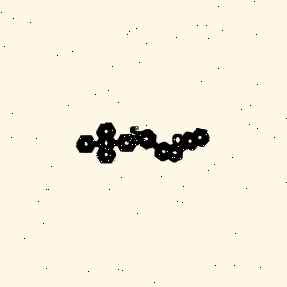 c1ccc(-c2c3ccccc3c(-c3ccc4c(c3)sc3ccc(-c5ccc6ccc7c8cc9ccccc9cc8oc7c6c5)cc34)c3ccccc23)cc1